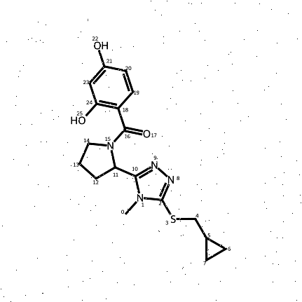 Cn1c(SCC2CC2)nnc1C1CCCN1C(=O)c1ccc(O)cc1O